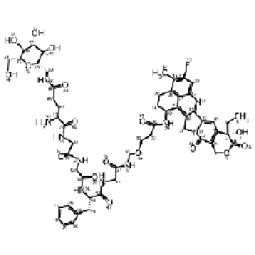 CC[C@@]1(O)C(=O)OCc2c1cc1n(c2=O)Cc2c-1nc1cc(F)c(C)c3c1c2[C@@H](NC(=O)CCOCNC(=O)CNC(=O)[C@H](Cc1ccccc1)NC(=O)CNC(=O)CNC(=O)[C@@H](N)CCC(=O)NC[C@@H]1O[C@H](CO)[C@@H](O)[C@H](O)[C@H]1O)CC3